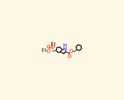 CCOP(=O)(Cc1ccc2[nH]c(C(=O)OCc3ccccc3)cc2c1)OCC